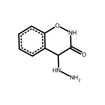 NNC1C(=O)NOc2ccccc21